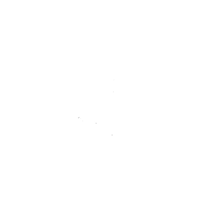 C[Si](C)(C)O[Si](CCCOC(=O)/C=C/C(=O)O)(O[Si](C)(C)C)O[Si](C)(C)C